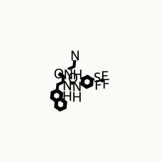 N#CCCNC(=O)C(Cc1ccc2ccccc2c1)NC(=O)Nc1ccc(SC(F)(F)F)cc1